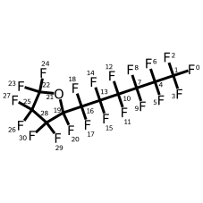 FC(F)(F)C(F)(F)C(F)(F)C(F)(F)C(F)(F)C(F)(F)C1(F)OC(F)(F)C(F)(F)C1(F)F